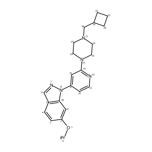 CC(C)Oc1ccc2cnn(-c3ccnc(N4CCN(CC5CCC5)CC4)c3)c2c1